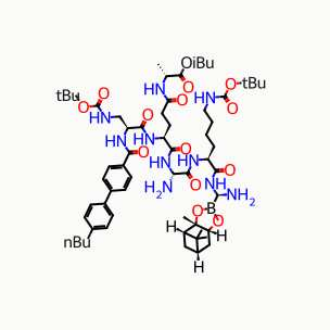 CCCCc1ccc(-c2ccc(C(=O)N[C@@H](CNC(=O)OC(C)(C)C)C(=O)N[C@@H](CCC(=O)N[C@H](C)C(=O)OCC(C)C)C(=O)N[C@@H](N)C(=O)N[C@@H](CCCCNC(=O)OC(C)(C)C)C(=O)N[C@@H](N)B3O[C@@H]4C[C@@H]5C[C@@H](C5(C)C)[C@]4(C)O3)cc2)cc1